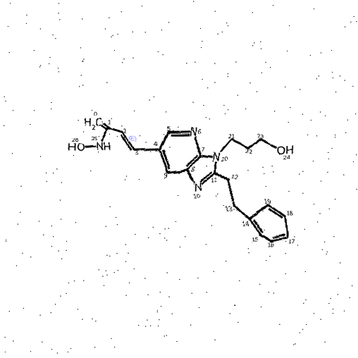 C=C(/C=C/c1cnc2c(c1)nc(CCc1ccccc1)n2CCCO)NO